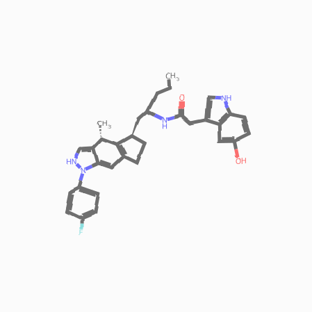 CCCC(C[C@H]1CCC2=C1[C@@H](C)C1=CNN(c3ccc(F)cc3)C1=C2)NC(=O)Cc1c[nH]c2ccc(O)cc12